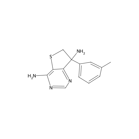 Cc1cccc(C2(N)CSc3c(N)ncnc32)c1